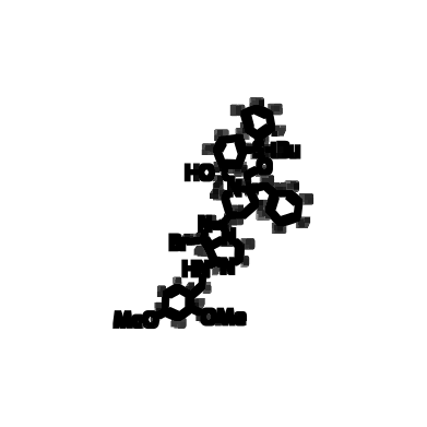 COc1ccc(CNc2nccn3c([C@@H]4CC[C@@](CO[Si](c5ccccc5)(c5ccccc5)C(C)(C)C)(Cc5ccccc5)N(C(=O)O)C4)nc(Br)c23)c(OC)c1